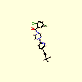 CC(C)(C)C#Cc1ccc(N2CCN(C(=O)c3cc(Cl)ccc3Cl)CC2)nc1